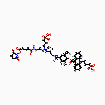 Cc1cc(C(=O)NCCC[N+](C)(CCCNC(=O)CCCC(=O)ON2C(=O)CCC2=O)CCCS(=O)(=O)O)cc(C)c1OC(=O)c1c2ccccc2[n+](CCCS(=O)(=O)O)c2ccccc12